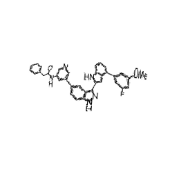 COc1cc(F)cc(-c2cccc3[nH]c(-c4n[nH]c5ccc(-c6cncc(NC(=O)Cc7ccccc7)c6)cc45)cc23)c1